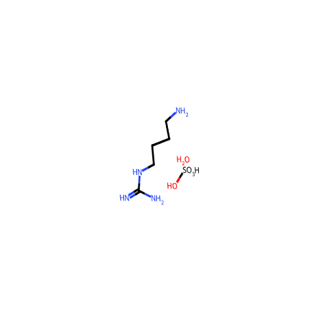 N=C(N)NCCCCN.O.O=S(=O)(O)O